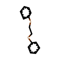 c1ccc(SCCSc2ccccc2)cc1